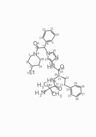 CCC1CCN(C(=O)C(c2ccccc2)n2cnc(NC(=O)[C@@H](CCc3ccccc3)NC(=O)C(C)(C)N)c2)CC1